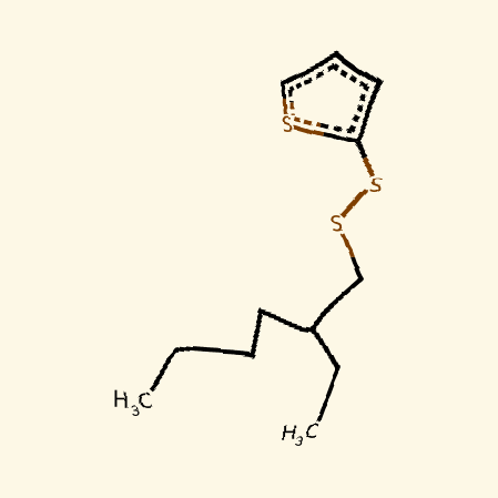 CCCCC(CC)CSSc1cccs1